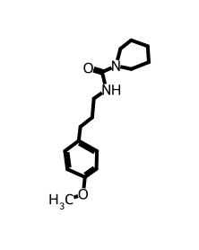 COc1ccc(CCCNC(=O)N2CCCCC2)cc1